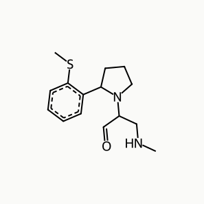 CNCC(C=O)N1CCCC1c1ccccc1SC